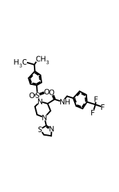 CC(C)c1ccc(S(=O)(=O)N2CCN(C3=NCCS3)CC2C(=O)NCc2ccc(C(F)(F)F)cc2)cc1